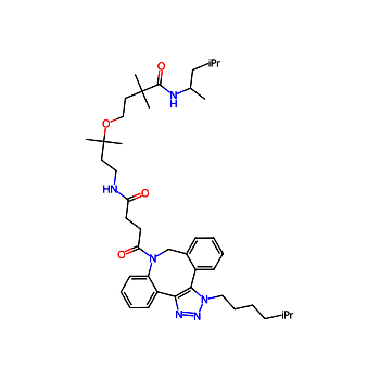 CC(C)CCCCn1nnc2c1-c1ccccc1CN(C(=O)CCC(=O)NCCC(C)(C)OCCC(C)(C)C(=O)NC(C)CC(C)C)c1ccccc1-2